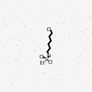 CC[Si](Cl)(Cl)OCCCCCCCl